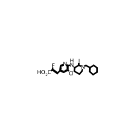 O=C(O)C(F)=Cc1cnc(N[C@@H]2CCCN(CC3CCCCC3)C2I)c(Cl)c1